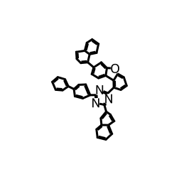 c1ccc(-c2ccc(-c3nc(-c4ccc5ccccc5c4)nc(-c4cccc5oc6cc(-c7cccc8ccccc78)ccc6c45)n3)cc2)cc1